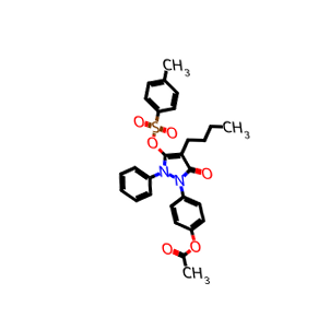 CCCCc1c(OS(=O)(=O)c2ccc(C)cc2)n(-c2ccccc2)n(-c2ccc(OC(C)=O)cc2)c1=O